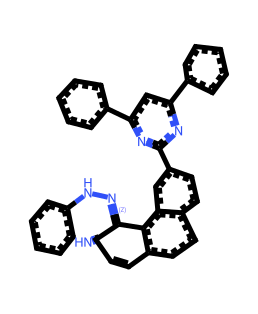 N=C1C=Cc2ccc3ccc(-c4nc(-c5ccccc5)cc(-c5ccccc5)n4)cc3c2/C1=N/Nc1ccccc1